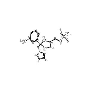 Cc1cccc(C2(Cn3ccnc3)OCC(COS(C)(=O)=O)O2)c1